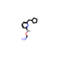 NCOBc1cccc(CC2CCCC2)n1